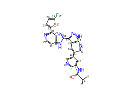 CC(C)C(=O)Nc1cncc(-c2cnc3[nH]nc(-c4nc5c(-c6ccc(F)s6)nccc5[nH]4)c3c2)c1